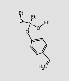 C=Cc1ccc(O[Si](CC)(OCC)OCC)cc1